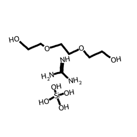 N=C(N)N.OCCOCCOCCO.O[Si](O)(O)O